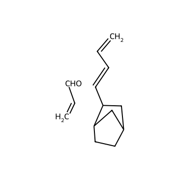 C=CC=CC1CC2CCC1C2.C=CC=O